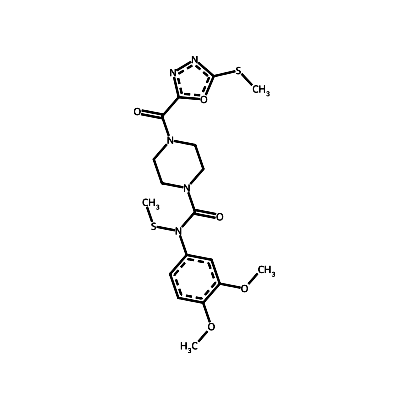 COc1ccc(N(SC)C(=O)N2CCN(C(=O)c3nnc(SC)o3)CC2)cc1OC